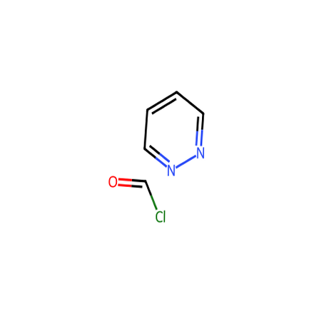 O=CCl.c1ccnnc1